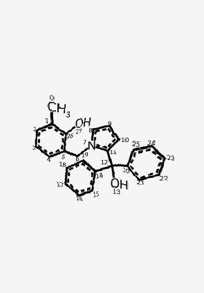 Cc1cccc(Cn2cccc2C(O)(c2ccccc2)c2ccccc2)c1O